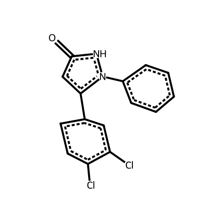 O=c1cc(-c2ccc(Cl)c(Cl)c2)n(-c2ccccc2)[nH]1